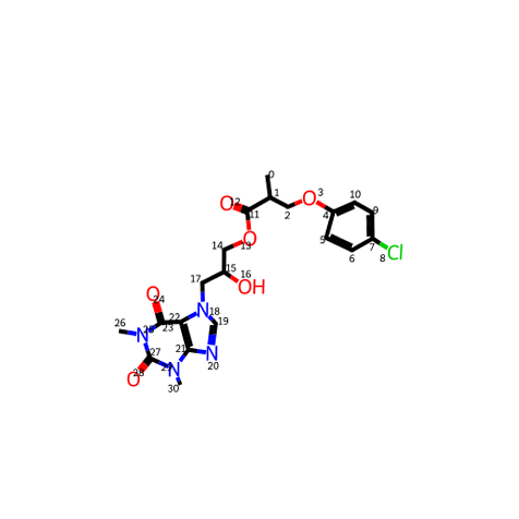 CC(COc1ccc(Cl)cc1)C(=O)OCC(O)Cn1cnc2c1c(=O)n(C)c(=O)n2C